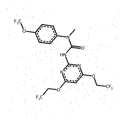 CN(C(=O)Nc1nc(OCC(F)(F)F)cc(OCC(F)(F)F)n1)c1ccc(OC(F)(F)F)cc1